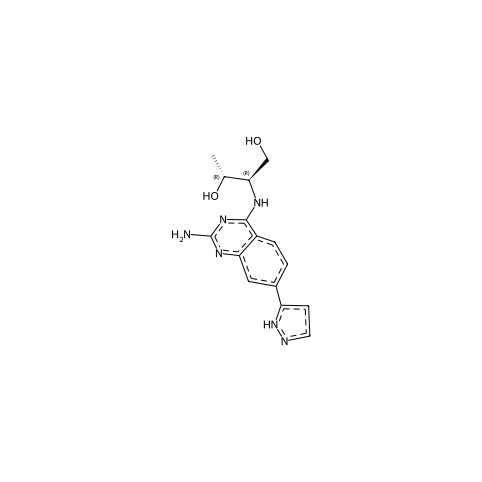 C[C@@H](O)[C@@H](CO)Nc1nc(N)nc2cc(-c3ccn[nH]3)ccc12